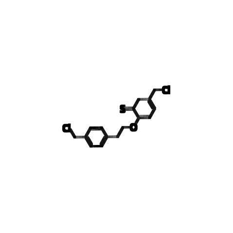 S=C1CC(CCl)=CC=C1OCCc1ccc(CCl)cc1